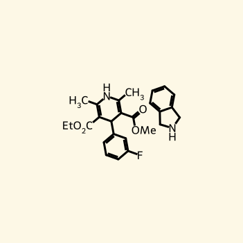 CCOC(=O)C1=C(C)NC(C)=C(C(=O)OC)C1c1cccc(F)c1.c1ccc2c(c1)CNC2